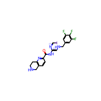 O=C(NC(=C/NCc1cc(F)c(F)c(F)c1)/N=C\I)c1ccc2c(n1)CCNC2